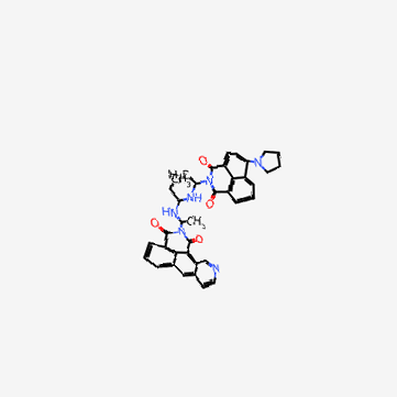 CCC(NC(C)N1C(=O)c2cccc3cc4ccncc4c(c23)C1=O)NC(C)N1C(=O)c2cccc3c(N4CCCC4)ccc(c23)C1=O